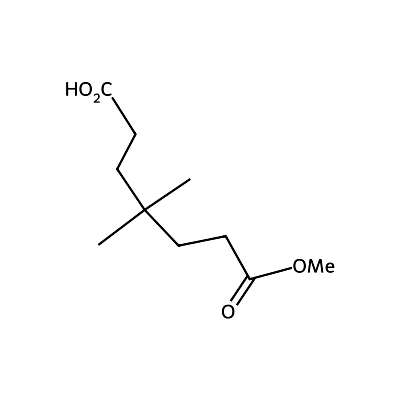 COC(=O)CCC(C)(C)CCC(=O)O